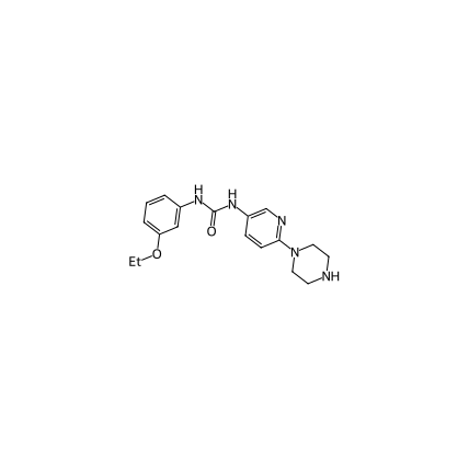 CCOc1cccc(NC(=O)Nc2ccc(N3CCNCC3)nc2)c1